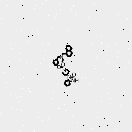 O=C(OCCN(Cc1ccccc1)Cc1cccc2ccccc12)N1CCC(n2c(=O)[nH]c3ccccc32)CC1